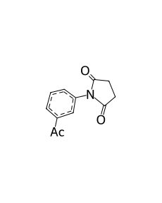 CC(=O)c1cccc(N2C(=O)CCC2=O)c1